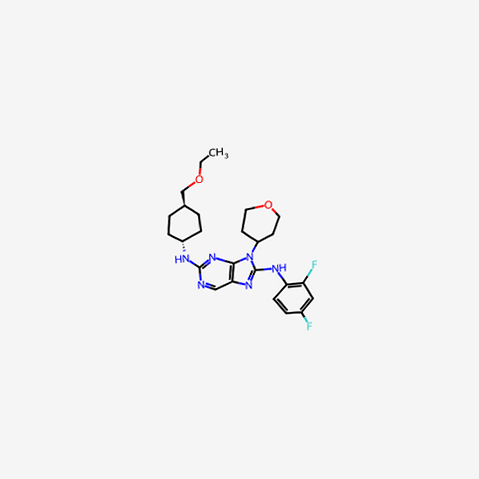 CCOC[C@H]1CC[C@H](Nc2ncc3nc(Nc4ccc(F)cc4F)n(C4CCOCC4)c3n2)CC1